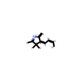 C=C1N=C(C)C(C)(C)/C1=C/C=C\C